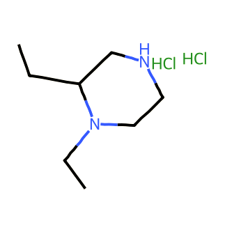 CCC1CNCCN1CC.Cl.Cl